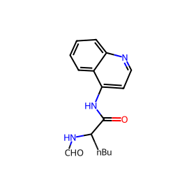 CCCCC(NC=O)C(=O)Nc1ccnc2ccccc12